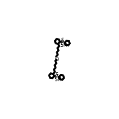 S=P(S)(C1CCCCC1)C1CCCCC1CCCCCCOCCCCCCC1CCCCC1P(=S)(S)C1CCCCC1